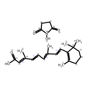 CC1=C(/C=C/C(C)=C/C=C/C(C)=C/C(=O)O)C(C)(C)CCC1.O=C1CCC(=O)N1O